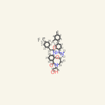 Cc1ccc(-c2ccc(CN(C)C[C@H]3Oc4c(NC(=O)Cc5ccc(C(F)(F)F)cc5)cccc4C(=O)N([C@@H](C)CO)C[C@H]3C)cc2)c(C)c1